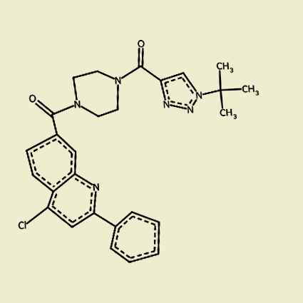 CC(C)(C)n1cc(C(=O)N2CCN(C(=O)c3ccc4c(Cl)cc(-c5ccccc5)nc4c3)CC2)nn1